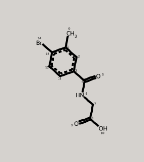 Cc1cc(C(=O)NCC(=O)O)ccc1Br